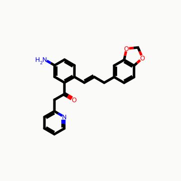 Nc1ccc(/C=C/Cc2ccc3c(c2)OCO3)c(C(=O)Cc2ccccn2)c1